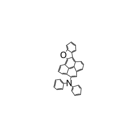 c1ccc(N(c2ccccc2)c2cc3cccc4c5c6ccccc6oc5c5cccc2c5c34)cc1